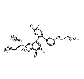 COCCOc1cccc(-c2cn(C)c(=O)cc2-c2cn(C)c(=O)c3[nH]c(/C(C=N)=C/NC(C)C)cc23)c1